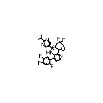 CC(C)c1ncc(C(=O)Nc2c(-c3cc(F)c(F)cc3F)ccnc2C2CCC(F)(F)CO2)cn1